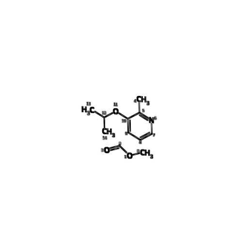 COC=O.Cc1ncccc1OC(C)C